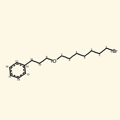 BrCCCCCCCOCCCc1ccccc1